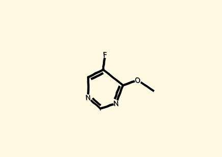 COc1n[c]ncc1F